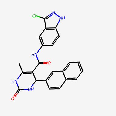 CC1=C(C(=O)Nc2ccc3[nH]nc(Cl)c3c2)C(c2ccc3ccccc3c2)NC(=O)N1